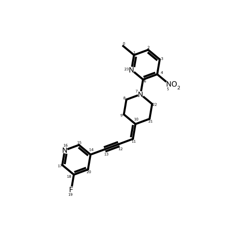 Cc1ccc([N+](=O)[O-])c(N2CCC(=CC#Cc3cncc(F)c3)CC2)n1